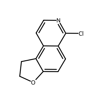 Clc1nccc2c3c(ccc12)OCC3